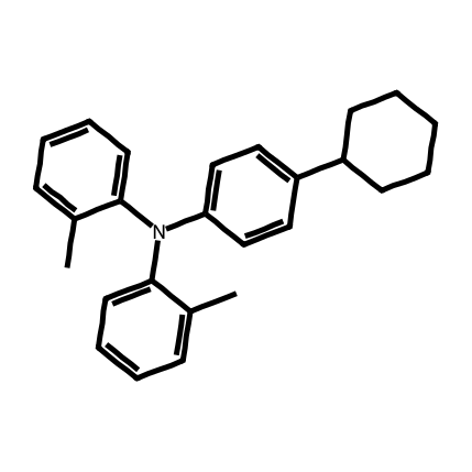 Cc1ccccc1N(c1ccc(C2CCCCC2)cc1)c1ccccc1C